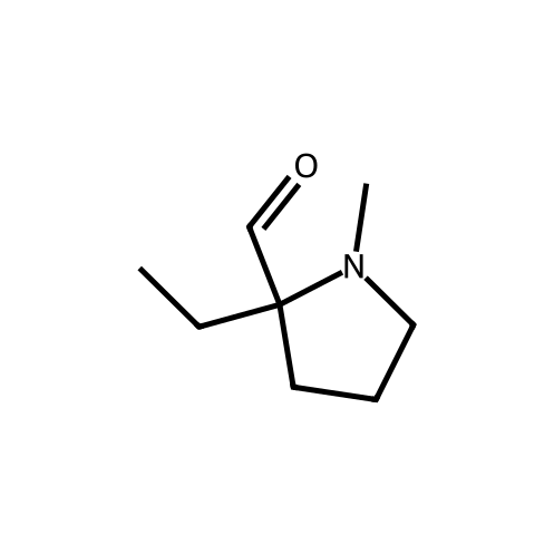 CCC1(C=O)CCCN1C